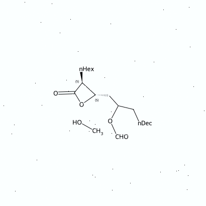 CCCCCCCCCCCC(C[C@@H]1OC(=O)[C@H]1CCCCCC)OC=O.CO